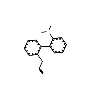 C=CCc1ccccc1-c1ccccc1N(C)C